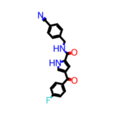 N#Cc1ccc(CNC(=O)c2cc(C(=O)c3ccc(F)cc3)c[nH]2)cc1